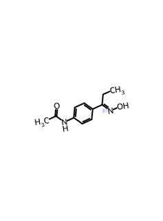 CC/C(=N\O)c1ccc(NC(C)=O)cc1